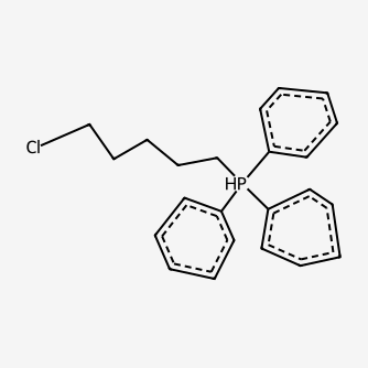 ClCCCCC[PH](c1ccccc1)(c1ccccc1)c1ccccc1